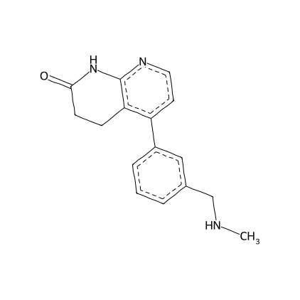 CNCc1cccc(-c2ccnc3c2CCC(=O)N3)c1